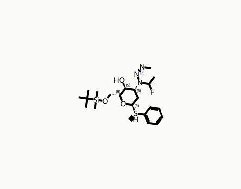 C#[SH](c1ccccc1)[C@@H]1C[C@@H](N(/N=N\C)C(C)F)[C@H](O)[C@@H](CO[Si](C)(C)C(C)(C)C)O1